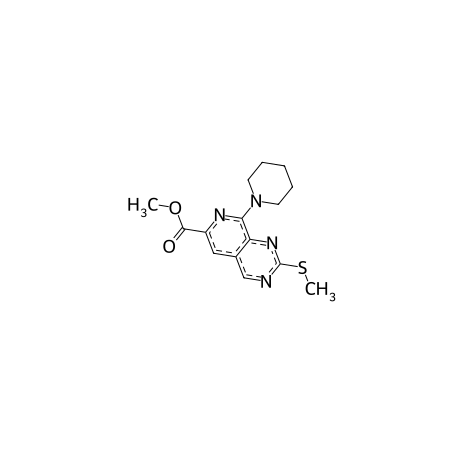 COC(=O)c1cc2cnc(SC)nc2c(N2CCCCC2)n1